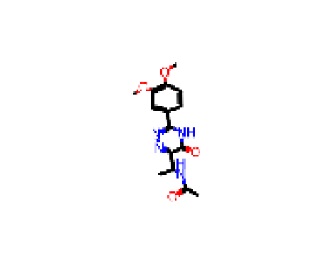 COc1ccc(-c2nnc(C(C)NC(C)=O)c(=O)[nH]2)cc1OC